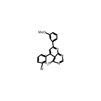 COc1cccc(-c2cc(-c3cccc(Br)c3)c3c(N)ncnc3n2)c1